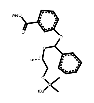 COC(=O)c1cccc(OC(O[C@@H](C)CO[Si](C)(C)C(C)(C)C)c2ccccc2)c1